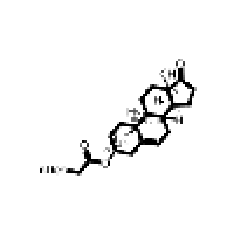 CCCCCCCCCCCC(=O)O[C@H]1CC[C@@]2(C)C(=CC[C@@H]3[C@@H]2CC[C@]2(C)C(=O)CC[C@@H]32)C1